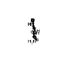 NC(=O)c1ccc(CNC(=O)NC2CC3(CC(NCc4ccccc4)C3)C2)cc1